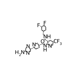 Nc1cnc(-c2ccc(CNc3ncc(C(F)(F)F)cc3C(=O)NCc3ccc(F)c(F)c3)cn2)cn1